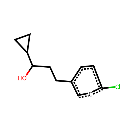 OC(CCc1ccc(Cl)cc1)C1CC1